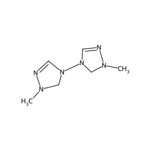 CN1CN(N2C=NN(C)C2)C=N1